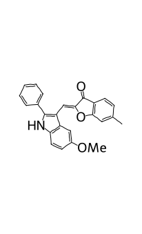 COc1ccc2[nH]c(-c3ccccc3)c(/C=C3\Oc4cc(C)ccc4C3=O)c2c1